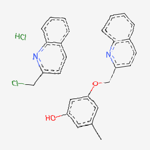 Cc1cc(O)cc(OCc2ccc3ccccc3n2)c1.Cl.ClCc1ccc2ccccc2n1